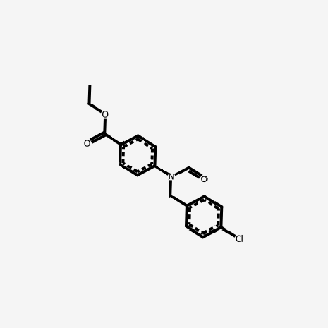 CCOC(=O)c1ccc(N(C=O)Cc2ccc(Cl)cc2)cc1